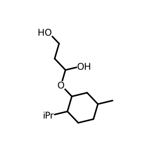 CC1CCC(C(C)C)C(OC(O)CCO)C1